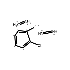 C=C.Clc1ccccc1Cl.N=N